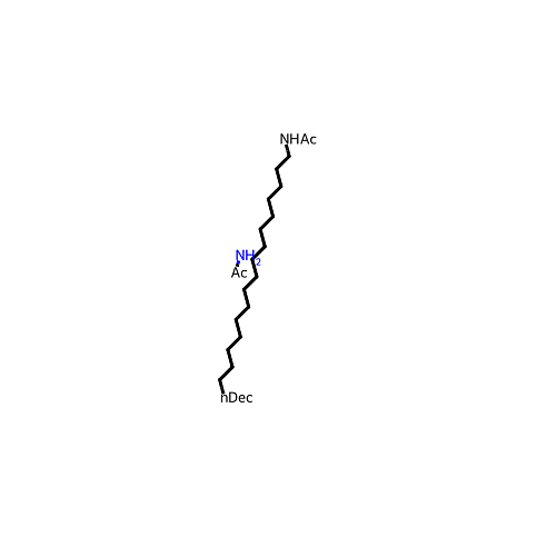 CC(N)=O.CCCCCCCCCCCCCCCCCCCCCCCCCCNC(C)=O